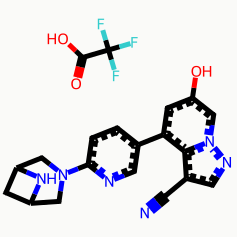 N#Cc1cnn2cc(O)cc(-c3ccc(N4CC5CC(C4)N5)nc3)c12.O=C(O)C(F)(F)F